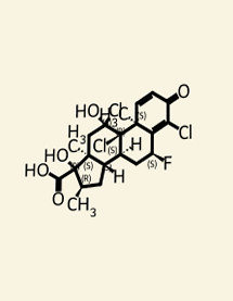 C[C@@H]1C[C@H]2[C@@H]3C[C@H](F)C4=C(Cl)C(=O)C=C[C@]4(C)[C@@]3(Cl)[C@@](O)(Cl)C[C@]2(C)[C@@]1(O)C(=O)O